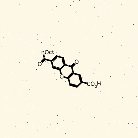 CCCCCCCCC(=O)c1ccc2c(=O)c3cc(C(=O)O)ccc3oc2c1